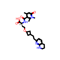 Cc1cc(=O)n(C)c(C)c1C(=O)N[C@@H](CCOC1CC(CCc2ccc3c(n2)NCCC3)C1)C(=O)O